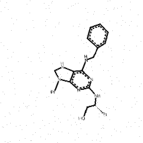 CC[C@H](CO)Nc1nc(NCc2ccccc2)c2c(n1)N(C(C)C)CN2